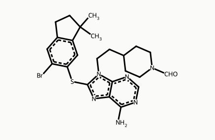 CC1(C)CCc2cc(Br)c(Sc3nc4c(N)ncnc4n3CCC3CCN(C=O)CC3)cc21